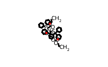 C=CCOC(=O)OCC[C@H]1C(=O)N(C(C(=O)OCC=C)=P(c2ccccc2)(c2ccccc2)c2ccccc2)[C@@H]1SC(c1ccccc1)(c1ccccc1)c1ccccc1